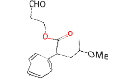 COC(C)CC(C(=O)OCCC=O)c1ccccc1